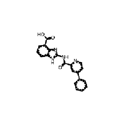 O=C(Nc1nc2c(C(=O)O)cccc2[nH]1)c1cc(-c2ccccc2)ccn1